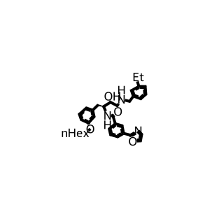 CCCCCCOc1cccc(C[C@H](NC(=O)c2cccc(-c3ncco3)c2)[C@H](O)CNCc2cccc(CC)c2)c1